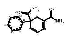 NC(=O)C1=CC=CC(C(N)=O)(c2ccccc2)C1